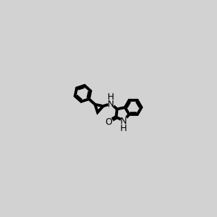 O=C1Nc2ccccc2C1NC1CC1c1ccccc1